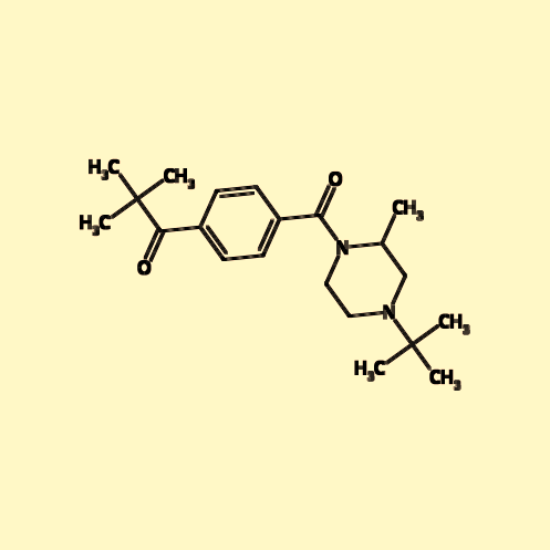 CC1CN(C(C)(C)C)CCN1C(=O)c1ccc(C(=O)C(C)(C)C)cc1